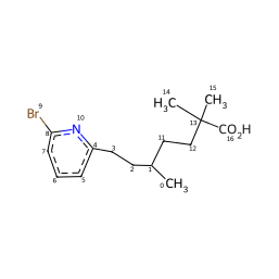 CC(CCc1cccc(Br)n1)CCC(C)(C)C(=O)O